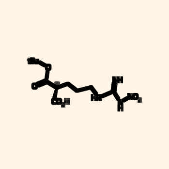 CC(C)(C)OC(=O)[C@@H](CCCNC(=N)N[N+](=O)[O-])C(=O)O